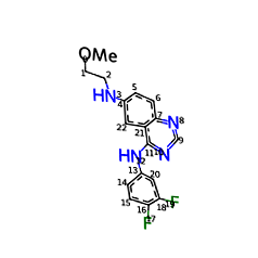 COCCNc1ccc2ncnc(Nc3ccc(F)c(F)c3)c2c1